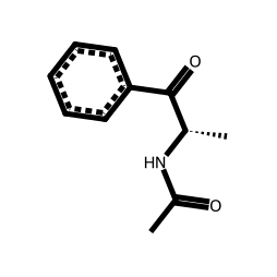 CC(=O)N[C@@H](C)C(=O)c1ccccc1